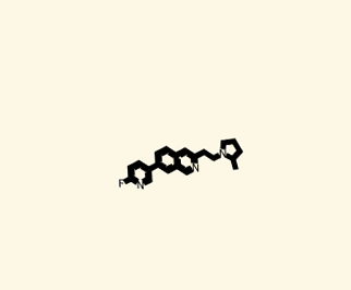 CC1CCCN1CCc1cc2ccc(-c3ccc(F)nc3)cc2cn1